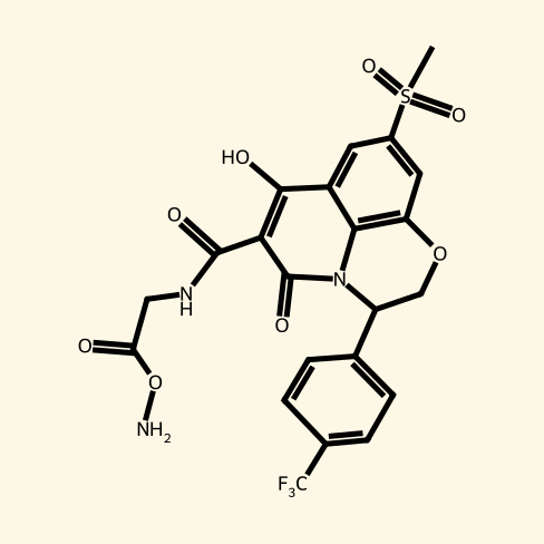 CS(=O)(=O)c1cc2c3c(c1)c(O)c(C(=O)NCC(=O)ON)c(=O)n3C(c1ccc(C(F)(F)F)cc1)CO2